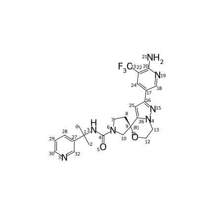 CC(C)(NC(=O)N1CC[C@]2(C1)OCCn1nc(-c3cnc(N)c(C(F)(F)F)c3)cc12)c1cccnc1